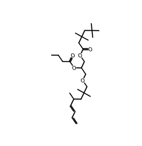 C=CC=CC(C)CC(C)(C)COCC(COC(=O)CC(C)(C)CC(C)(C)C)OC(=O)CCC